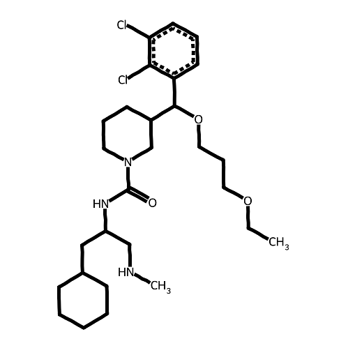 CCOCCCOC(c1cccc(Cl)c1Cl)C1CCCN(C(=O)NC(CNC)CC2CCCCC2)C1